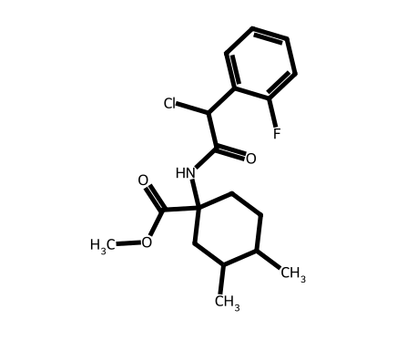 COC(=O)C1(NC(=O)C(Cl)c2ccccc2F)CCC(C)C(C)C1